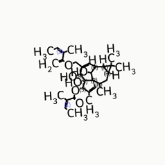 C=C(OCC1=C[C@@H]2C(O)[C@]3(C=C(C)[C@H](OC(=O)/C(C)=C\C)[C@@]3(O)[C@@H]1O)[C@H](C)C[C@@H]1[C@H]2C1(C)C)/C(C)=C\C